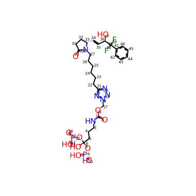 O=C(NCCCC(O)(O[PH](=O)O)O[PH](=O)O)OCn1nnc(CCCCCCN2C(=O)CC[C@@H]2/C=C/[C@@H](O)C(F)(F)c2ccccc2)n1